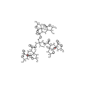 CCC(COC(=O)C(CC1C(=O)OC(C)C1C)C1(C)CC(C)OC1=O)(COC(=O)C(CC1(C)CC(C)OC1=O)C1(C)CC(C)OC1=O)COC(=O)C(CC1(C)CC(C)OC1=O)C1(C)CC(C)OC1=O